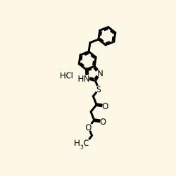 CCOC(=O)CC(=O)CSc1nc2cc(Cc3ccccc3)ccc2[nH]1.Cl